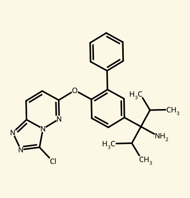 CC(C)C(N)(c1ccc(Oc2ccc3nnc(Cl)n3n2)c(-c2ccccc2)c1)C(C)C